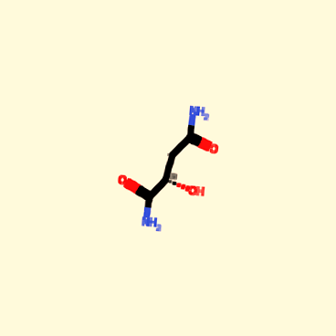 NC(=O)[CH][C@H](O)C(N)=O